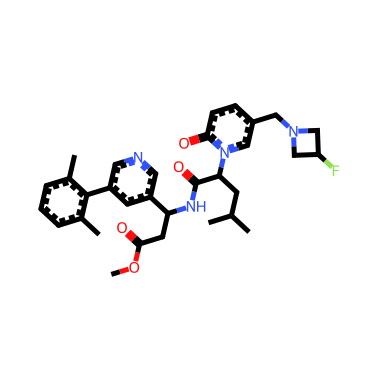 COC(=O)CC(NC(=O)C(CC(C)C)n1cc(CN2CC(F)C2)ccc1=O)c1cncc(-c2c(C)cccc2C)c1